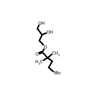 CC(C)(C)CCC(C)(C)C(=O)OCC(O)CO